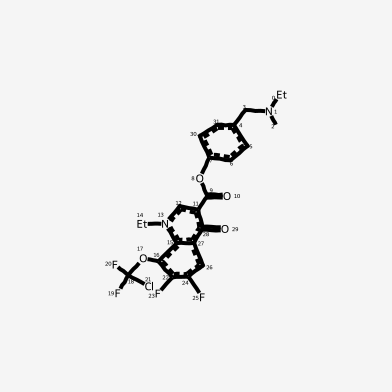 CCN(C)Cc1ccc(OC(=O)c2cn(CC)c3c(OC(F)(F)Cl)c(F)c(F)cc3c2=O)cc1